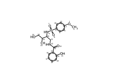 COc1ccc(S(=O)(=O)NC(CNC(=O)c2ccccc2O)C(C)CO)cc1